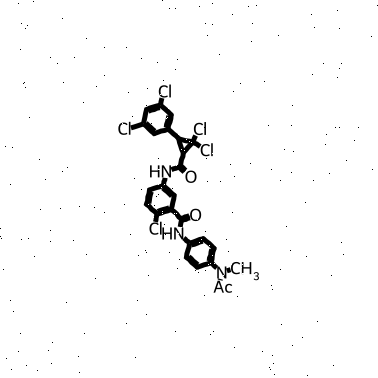 CC(=O)N(C)c1ccc(NC(=O)c2cc(NC(=O)C3C(c4cc(Cl)cc(Cl)c4)C3(Cl)Cl)ccc2Cl)cc1